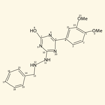 COc1ccc(-c2nc(O)nc(NNCc3ccccc3)n2)cc1OC